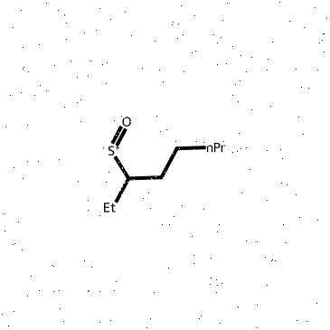 [CH2]CC(CCCCC)[S+]=O